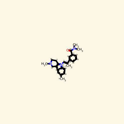 C/C(=C\n1c2c(c3cc(C)ccc31)CN(C)CC2)c1cccc(C(=O)N(C)C)c1